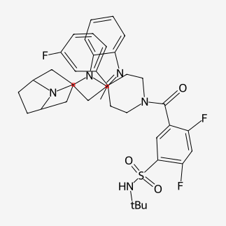 Cc1nc2ccccc2n1C1CC2CCC(C1)N2CCC1(c2cccc(F)c2)CCN(C(=O)c2cc(S(=O)(=O)NC(C)(C)C)c(F)cc2F)CC1